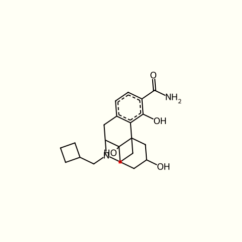 NC(=O)c1ccc2c(c1O)C13CCN(CC4CCC4)C(C2)C1(O)CCC(O)C3